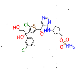 NS(=O)(=O)OC[C@@H]1CC[C@H](Nc2ncncc2C(=O)c2cc(C(O)(CCO)c3cccc(Cl)c3)c(Cl)s2)C1